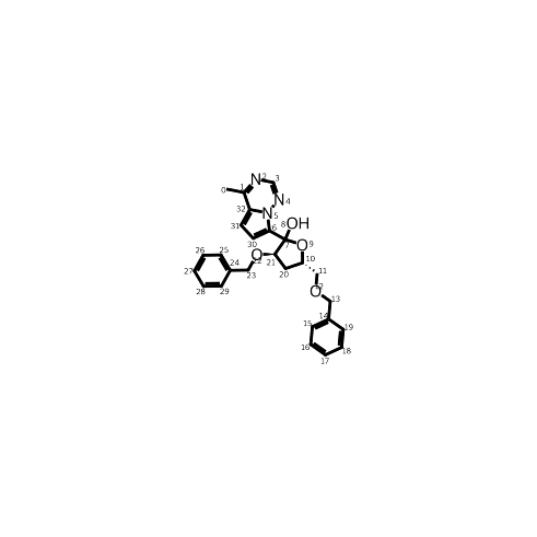 Cc1ncnn2c(C3(O)O[C@H](COCc4ccccc4)C[C@H]3OCc3ccccc3)ccc12